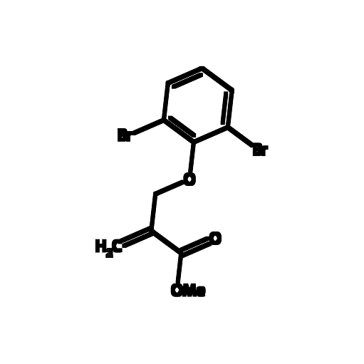 C=C(COc1c(Br)cccc1Br)C(=O)OC